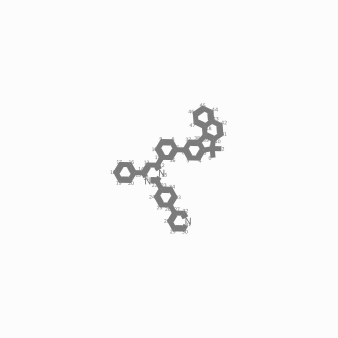 CC1(C)c2ccc(-c3cccc(-c4cc(-c5ccccc5)nc(-c5ccc(-c6cccnc6)cc5)n4)c3)cc2-c2c1ccc1ccccc21